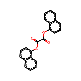 O=C(Oc1cccc2ccccc12)C(=O)Oc1cccc2ccccc12